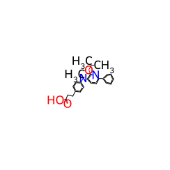 CC(C)Oc1nc(-c2ccccc2)ccc1N(C)c1ccc(CCC(=O)O)cc1